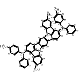 Cc1ccc(N(c2ccccc2)c2ccc3c4cc5c(cc4n4c6ccc(C(C)(C)C)cc6c2c34)c2ccc(N(c3ccccc3)c3ccc(C)cc3)c3c4cc(C(C)(C)C)ccc4n5c23)cc1